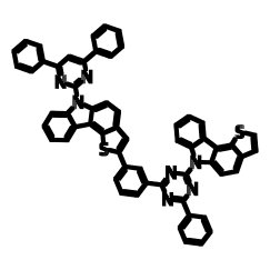 c1ccc(-c2cc(-c3ccccc3)nc(-n3c4ccccc4c4c5sc(-c6cccc(-c7nc(-c8ccccc8)nc(-n8c9ccccc9c9c%10sccc%10ccc98)n7)c6)cc5ccc43)n2)cc1